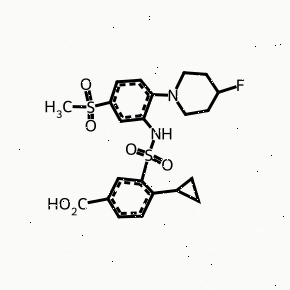 CS(=O)(=O)c1ccc(N2CCC(F)CC2)c(NS(=O)(=O)c2cc(C(=O)O)ccc2C2CC2)c1